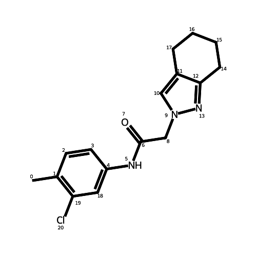 Cc1ccc(NC(=O)Cn2cc3c(n2)CCCC3)cc1Cl